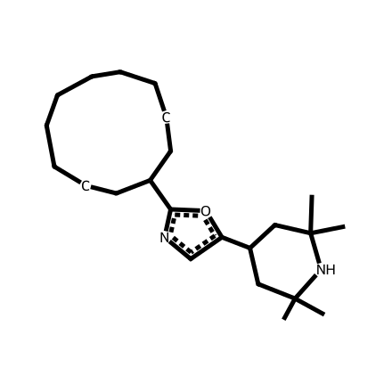 CC1(C)CC(c2cnc(C3CCCCCCCCCC3)o2)CC(C)(C)N1